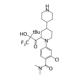 CN(C)C(=O)c1ccc(N2CCC(C3CCNCC3)CC2C(=O)C(O)(C(C)(C)C)C(F)(F)F)cc1Cl